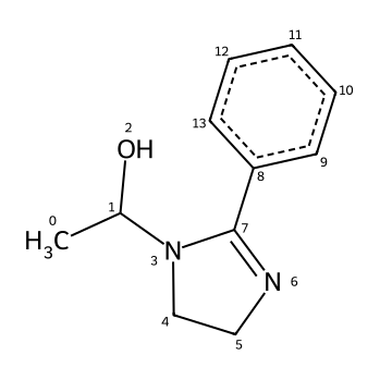 CC(O)N1CCN=C1c1ccccc1